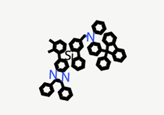 Cc1ccc2c(c1C)-c1cc3nc(-c4ccccc4)c(-c4ccccc4)nc3cc1[Si]21c2ccccc2-c2cc(CN(c3ccccc3)c3cccc(C4(c5ccccc5)c5ccccc5-c5ccccc54)c3)ccc21